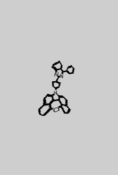 c1ccc(-c2nc(-c3ccc(-n4c5ccc6cccc7oc8cccc9ccc4c(c98)c5c67)cc3)nc3ccccc23)cc1